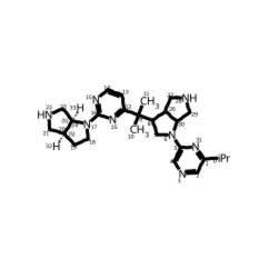 CC(C)c1cncc(N2CC(C(C)(C)c3ccnc(N4CC[C@H]5CNC[C@H]54)n3)C3CNCC32)n1